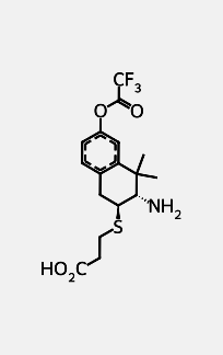 CC1(C)c2cc(OC(=O)C(F)(F)F)ccc2C[C@H](SCCC(=O)O)[C@H]1N